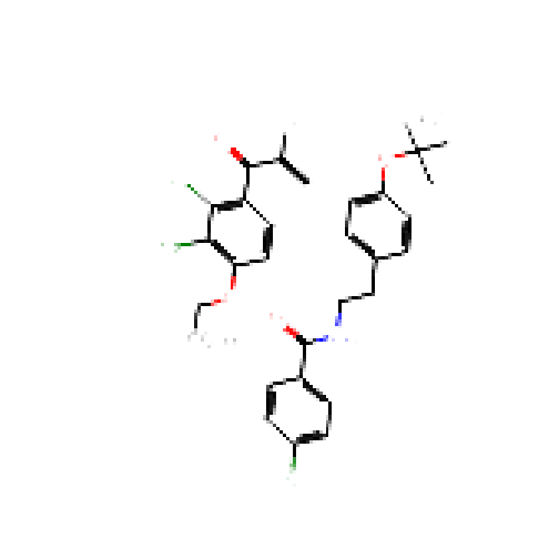 C=C(CC)C(=O)c1ccc(OCC(=O)O)c(Cl)c1Cl.CC(C)(Oc1ccc(CCNC(=O)c2ccc(Cl)cc2)cc1)C(=O)O